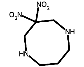 O=[N+]([O-])C1([N+](=O)[O-])CNCCCNC1